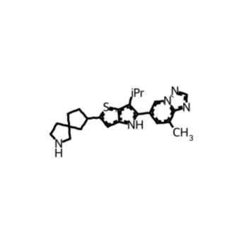 Cc1cc(-c2[nH]c3cc(C4CCC5(CCNC5)C4)sc3c2C(C)C)cn2ncnc12